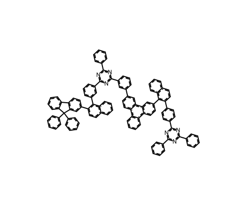 c1ccc(-c2nc(-c3ccccc3)nc(-c3ccc(-c4ccc5ccccc5c4-c4ccc5c6ccccc6c6ccc(-c7cccc(-c8nc(-c9ccccc9)nc(-c9cccc(-c%10c(-c%11ccc%12c(c%11)C(c%11ccccc%11)(c%11ccccc%11)c%11ccccc%11-%12)ccc%11ccccc%10%11)c9)n8)c7)cc6c5c4)cc3)n2)cc1